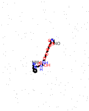 CNN(C)Cc1cc2ccccc2n1CCC(=O)N[C@@H](CO)C(=O)NCCOCCOCCOCCOCCC(=O)N(C)[C@@H](C)C(=O)N=O